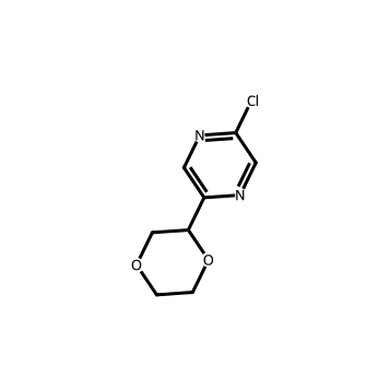 Clc1cnc(C2COCCO2)cn1